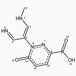 CN/C=C(\C=N)n1nc(C(=O)O)ccc1=O